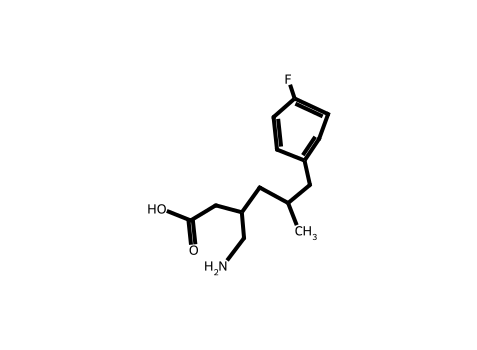 CC(Cc1ccc(F)cc1)CC(CN)CC(=O)O